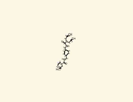 C#CCN(/C=C\C)C(=O)NCc1ccc(CNC(=O)N(CC#C)CC#C)cc1